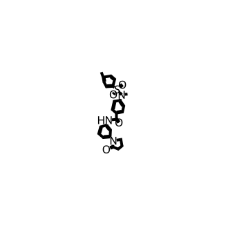 Cc1ccc(S(=O)(=O)N(C)c2ccc(C(=O)Nc3cccc(N4CCCC4=O)c3)cc2)cc1